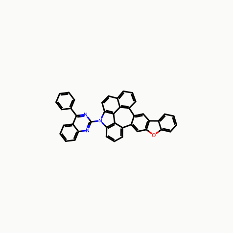 c1ccc(-c2nc(-n3c4cccc5c4c4c6c(cccc6ccc43)-c3cc4c(cc3-5)oc3ccccc34)nc3ccccc23)cc1